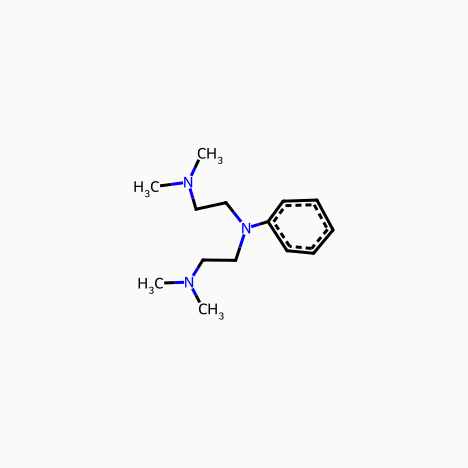 CN(C)CCN(CCN(C)C)c1ccccc1